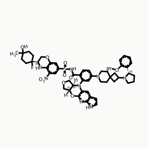 CC(C)Oc1ccccc1[C@@H]1CCCN1C1CC2(CCN(c3ccc(C(=O)NS(=O)(=O)c4cc5c(c([N+](=O)[O-])c4)N[C@@H](C4(F)CCC(C)(O)CC4)CO5)c(N4c5cc6cc[nH]c6nc5O[C@@H]5COC[C@H]54)c3)CC2)C1